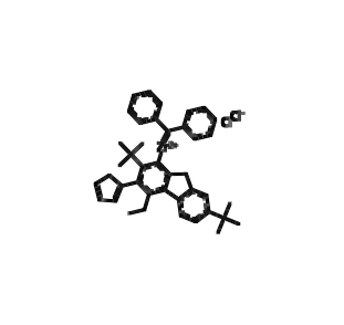 CCc1c(C2=CC=CC2)c(C(C)(C)C)[c]([Zr+2]=[C](c2ccccc2)c2ccccc2)c2c1-c1ccc(C(C)(C)C)cc1C2.[Cl-].[Cl-]